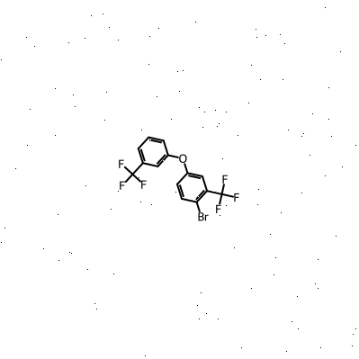 FC(F)(F)c1cccc(Oc2ccc(Br)c(C(F)(F)F)c2)c1